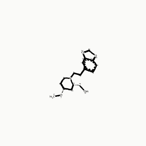 CO[C@@H]1CCN(CCc2ccc3c(c2)OCO3)[C@H](CO)C1